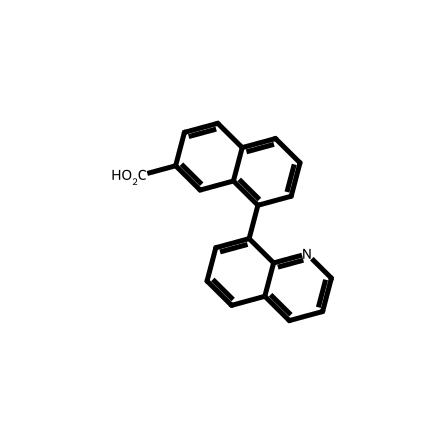 O=C(O)c1ccc2cccc(-c3cccc4cccnc34)c2c1